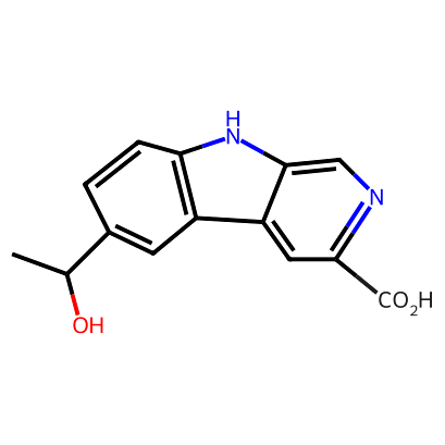 CC(O)c1ccc2[nH]c3cnc(C(=O)O)cc3c2c1